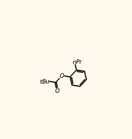 CCCc1ccccc1OC(=O)C(C)(C)C